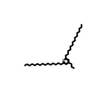 [CH2]CCc1cc(CCCCCCCCCCCCCCC)nc(CCCCCCCCCCCCCCC)c1